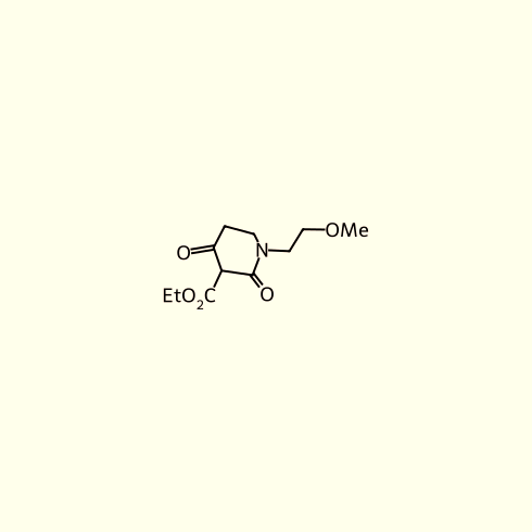 CCOC(=O)C1C(=O)CCN(CCOC)C1=O